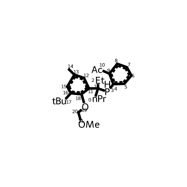 CCCC(CC)(Pc1ccccc1C(C)=O)c1cc(C)cc(C(C)(C)C)c1OCOC